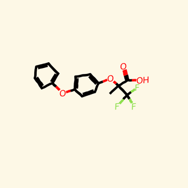 CC(Oc1ccc(Oc2ccccc2)cc1)(C(=O)O)C(F)(F)F